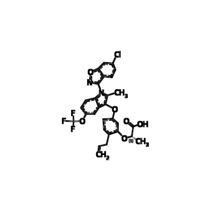 C=CCc1ccc(Oc2c(C)n(-c3noc4cc(Cl)ccc34)c3ccc(OC(F)(F)F)cc23)cc1O[C@@H](C)C(=O)O